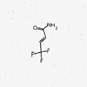 NC(=O)/C=C/C(F)(F)F